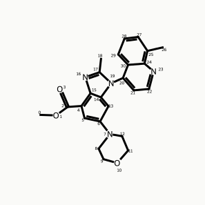 COC(=O)c1cc(N2CCOCC2)cc2c1nc(C)n2-c1ccnc2c(C)cccc12